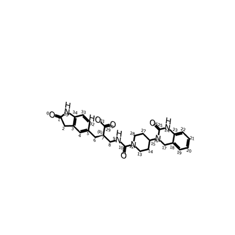 O=C1Cc2cc(C[C@H](CNC(=O)N3CCC(N4Cc5ccccc5NC4=O)CC3)C(=O)O)ccc2N1